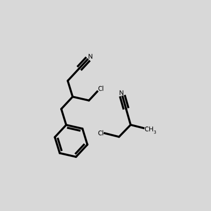 CC(C#N)CCl.N#CCC(CCl)Cc1ccccc1